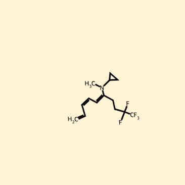 C=C/C=C\C=C(\CCC(F)(F)C(F)(F)F)N(C)C1CC1